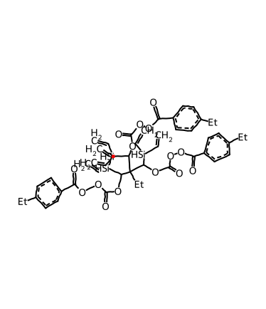 C=C[SiH](C=C)C(OC(=O)OOC(=O)c1ccc(CC)cc1)C(CC)(C(OC(=O)OOC(=O)c1ccc(CC)cc1)[SiH](C=C)C=C)C(OC(=O)OOC(=O)c1ccc(CC)cc1)[SiH](C=C)C=C